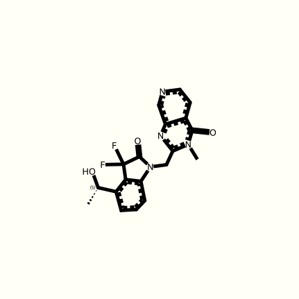 C[C@H](O)c1cccc2c1C(F)(F)C(=O)N2Cc1nc2cnccc2c(=O)n1C